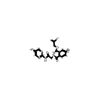 CC(F)COc1nn(CC(=O)Nc2ncc(F)cn2)c(=O)c2ccc(Br)cc12